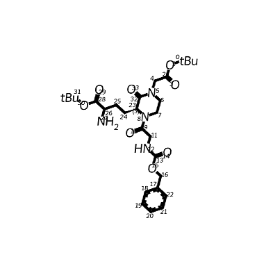 CC(C)(C)OC(=O)CN1CCN(C(=O)CNC(=O)OCc2ccccc2)[C@@H](CCC(N)C(=O)OC(C)(C)C)C1=O